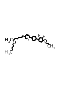 C=CCOc1ccc(-c2ccc(-c3ccc(/C=C/CCCC(C)OCCCCC)cn3)cc2)c(F)c1F